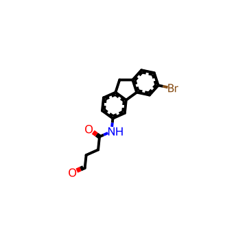 O=CCCC(=O)Nc1ccc2c(c1)-c1cc(Br)ccc1C2